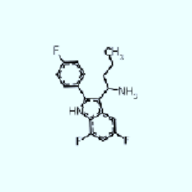 CCCC(N)c1c(-c2ccc(F)cc2)[nH]c2c(F)cc(F)cc12